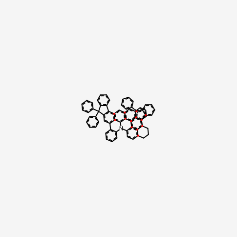 c1ccc(-n2c3ccccc3c3cccc(-c4ccccc4N(c4ccccc4-c4ccc5c(c4)C(c4ccccc4)(c4ccccc4)c4ccccc4-5)c4ccccc4-c4cccc5cccc(C6CCCCC6)c45)c32)cc1